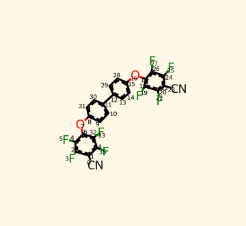 N#Cc1c(F)c(F)c(Oc2ccc(-c3ccc(Oc4c(F)c(F)c(C#N)c(F)c4F)cc3)cc2)c(F)c1F